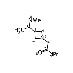 CNC(C)C1CN(CC(=O)C(C)C)C1